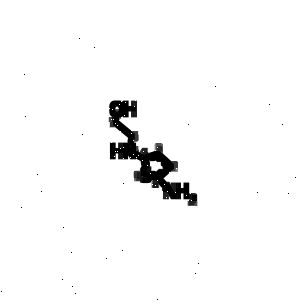 Nc1ccc(NCCO)s1